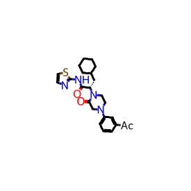 CC(=O)c1cccc(N2CCN([C@@H](CC3CCCCC3)C(=O)Nc3nccs3)C(=O)C2)c1